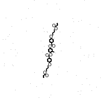 C=CC(=O)OCCCCOc1ccc(C(=O)Oc2ccc(OC(=O)c3ccc(OCCCCOC(=O)C=C)cc3)c(C)c2)cc1